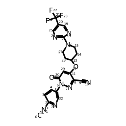 [C-]#[N+]c1ccc(-n2nc(C#N)c(OC3CCN(c4ncc(C(F)(F)F)cn4)CC3)cc2=O)cn1